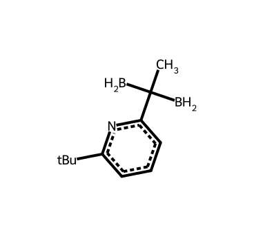 BC(B)(C)c1cccc(C(C)(C)C)n1